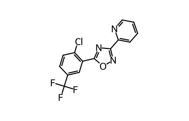 FC(F)(F)c1ccc(Cl)c(-c2nc(-c3ccccn3)no2)c1